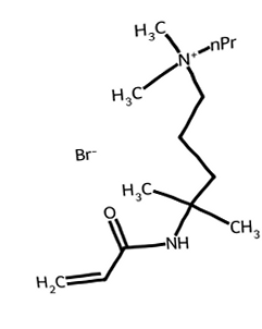 C=CC(=O)NC(C)(C)CCC[N+](C)(C)CCC.[Br-]